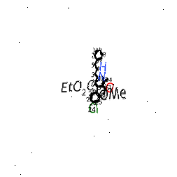 CCOC(=O)C1=C(CCCc2ccccc2)NC(C)=C(C(=O)OC)C1c1ccc(Cl)cc1